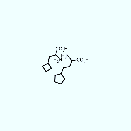 NC(CC1CCC1)C(=O)O.NC(CCC1CCCC1)C(=O)O